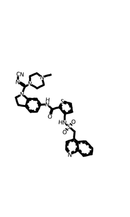 CN1CCN(C(=NC#N)N2CCc3ccc(NC(=O)c4sccc4NS(=O)(=O)Cc4ccnc5ccccc45)cc32)CC1